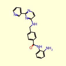 Nc1ccccc1NC(=O)c1ccc(CNc2ccnc(-c3cccnc3)n2)cc1